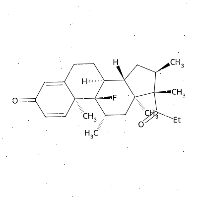 CCC(=O)[C@@]1(C)[C@H](C)C[C@H]2[C@@H]3CCC4=CC(=O)C=C[C@]4(C)[C@@]3(F)[C@@H](C)C[C@@]21C